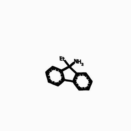 CCC1(N)c2ccccc2-c2ccccc21